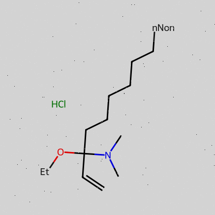 C=CC(CCCCCCCCCCCCCCC)(OCC)N(C)C.Cl